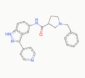 O=C(Nc1ccc2[nH]nc(-c3ccncc3)c2c1)C1CCN(Cc2ccccc2)C1